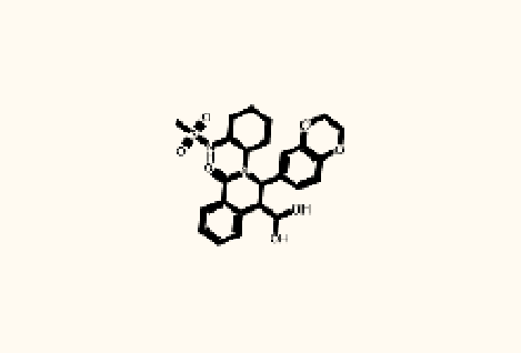 CS(=O)(=O)NC1CCCCC1N1C(=O)c2ccccc2C(C(O)O)C1c1ccc2c(c1)OCCO2